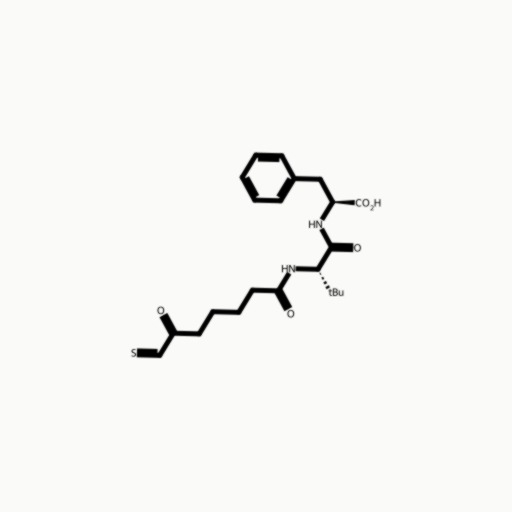 CC(C)(C)[C@H](NC(=O)CCCCC(=O)C=S)C(=O)N[C@@H](Cc1ccccc1)C(=O)O